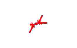 CCCCCCCCCCOC(=O)CCN(CCC(=O)OC)CCN1CCN(CCN(CCC(=O)OCCCCCCCCCC)CCC(=O)OCCCCCCCCCC)CC1